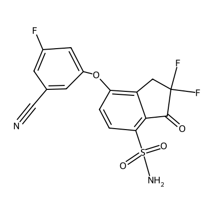 N#Cc1cc(F)cc(Oc2ccc(S(N)(=O)=O)c3c2CC(F)(F)C3=O)c1